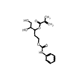 C=C(C)C(=O)OC(CCOC(=O)Nc1ccccc1)C(O)CO